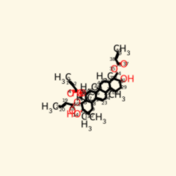 C/C=C/C(=O)OC[C@@]12C(CC(C)(C)[C@@H](O)[C@@H]1OC(=O)/C=C/C)C1=CCC3[C@@]4(C)CC[C@H](O)[C@](C)(COC(=O)/C=C/C)C4CC[C@@]3(C)[C@]1(C)C[C@H]2O